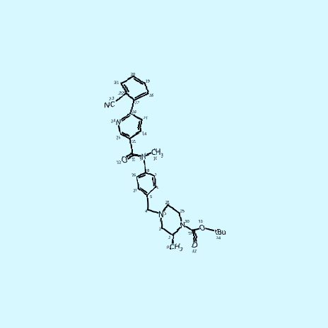 C[C@H]1CN(Cc2ccc(N(C)C(=O)c3ccc(-c4ccccc4C#N)nc3)cc2)CCN1C(=O)OC(C)(C)C